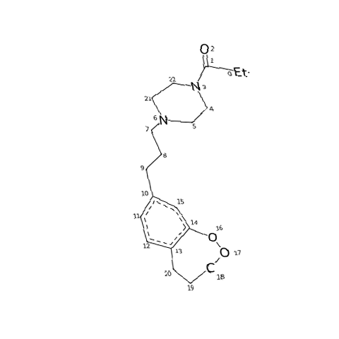 C[CH]C(=O)N1CCN(CCCc2ccc3c(c2)OOCCC3)CC1